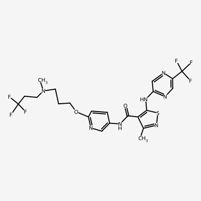 Cc1nsc(Nc2cnc(C(F)(F)F)cn2)c1C(=O)Nc1ccc(OCCCN(C)CCC(F)(F)F)nc1